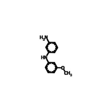 COc1cccc(Nc2cccc(N)c2)c1